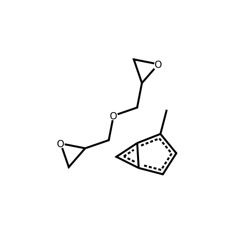 C(OCC1CO1)C1CO1.Cc1ccc2cc1-2